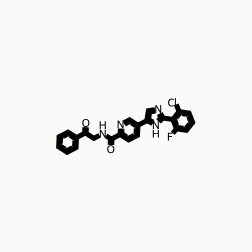 O=C(CNC(=O)c1ccc(-c2cnc(-c3c(F)cccc3Cl)[nH]2)cn1)c1ccccc1